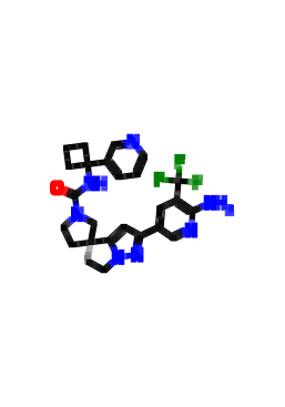 Nc1ncc(-c2cc3n(n2)CC[C@@]32CCN(C(=O)NC3(c4cccnc4)CCC3)C2)cc1C(F)(F)F